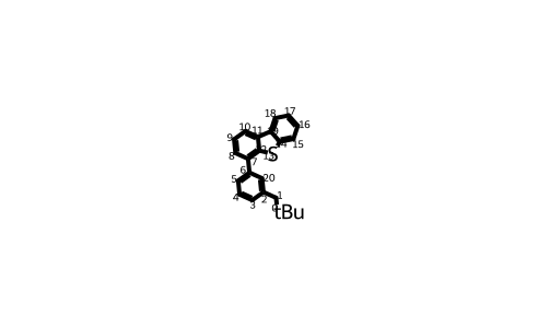 CC(C)(C)Cc1cccc(-c2cccc3c2sc2ccccc23)c1